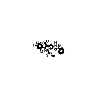 C=CS/C(=N\C)C1=N[C@@H](c2ccc(F)cc2Cl)C(C(=O)OC)=C2C[C@H](NS(=O)(=O)c3ccccc3)CN12